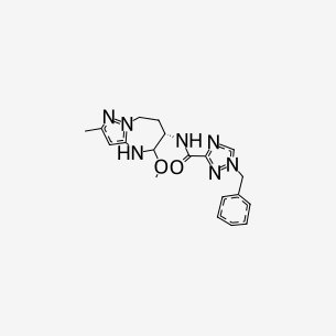 COC1Nc2cc(C)nn2CC[C@@H]1NC(=O)c1ncn(Cc2ccccc2)n1